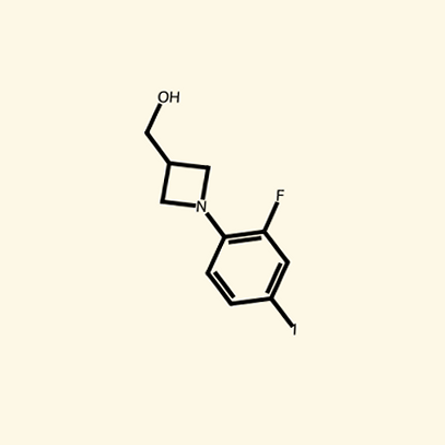 OCC1CN(c2ccc(I)cc2F)C1